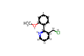 COc1ccccc1-c1ncccc1CCl